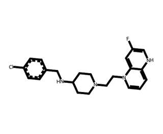 FC1=CNC2=CC=CN(CCN3CCC(NCc4ccc(Cl)cc4)CC3)C2=C1